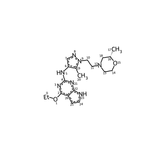 CCOc1nc(Nc2cnn(CCN3CCO[C@@H](C)C3)c2C)nc2[nH]ccc12